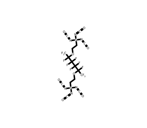 O=C=N[Si](CCOC(F)(C(F)(F)F)C(F)(F)C(F)(F)C(F)(OCC[Si](N=C=O)(N=C=O)N=C=O)C(F)(F)F)(N=C=O)N=C=O